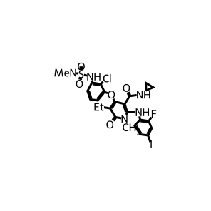 CCc1c(Oc2cccc(NS(=O)(=O)NC)c2Cl)c(C(=O)NC2CC2)c(Nc2ccc(I)cc2F)n(C)c1=O